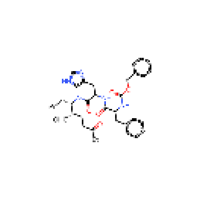 CCC(=O)CC[C@H](C=O)[C@H](CC(C)C)NC(=O)C(Cc1c[nH]cn1)NC(=O)[C@H](Cc1ccccc1)NC(=O)OCc1ccccc1